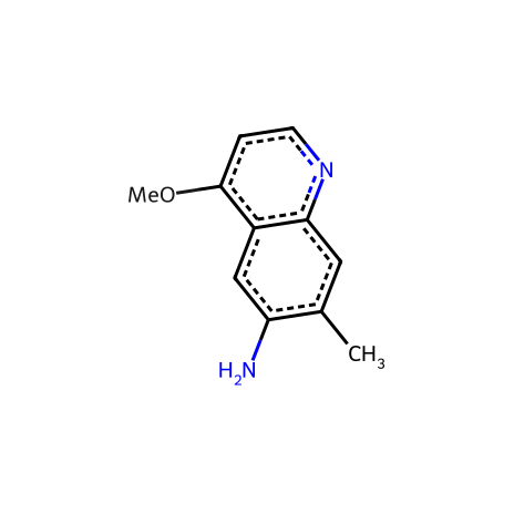 COc1ccnc2cc(C)c(N)cc12